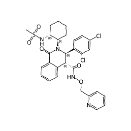 CS(=O)(=O)N[C@@H]1CCCC[C@H]1N1C(=O)c2ccccc2[C@@H](C(=O)NOCc2ccccn2)[C@@H]1c1ccc(Cl)cc1Cl